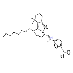 CCCCCCCCC1C=CC(/C=C(\C)c2ccc(C(=O)O)o2)=C2N=C3CCCC(C)(C)C3=C21